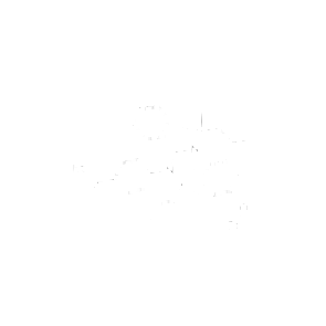 CCOc1ccc2c(c1)C(C)=CC(C)(C)N2C(c1ccc(C)cc1)N1c2ccc(OCC)cc2C(C)=CC1(C)C